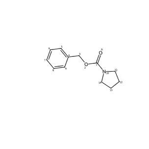 O=C(OCc1ccccc1)N1[CH]CCC1